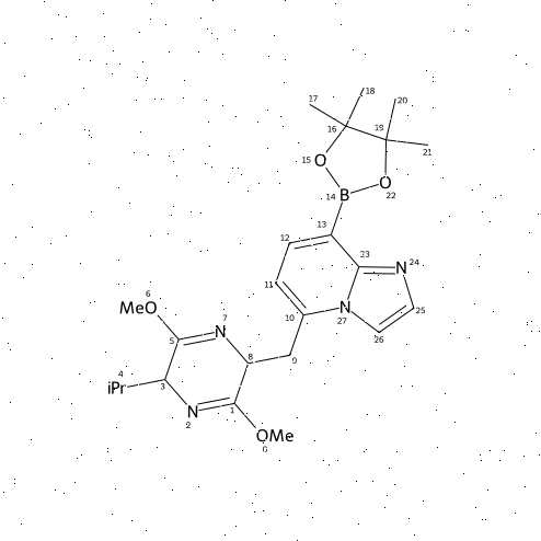 COC1=NC(C(C)C)C(OC)=NC1Cc1ccc(B2OC(C)(C)C(C)(C)O2)c2nccn12